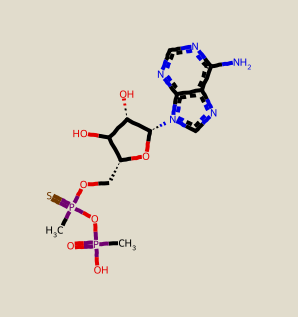 CP(=O)(O)OP(C)(=S)OC[C@H]1O[C@@H](n2cnc3c(N)ncnc32)[C@@H](O)C1O